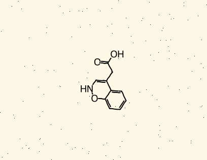 O=C(O)CC1=CNOc2ccccc21